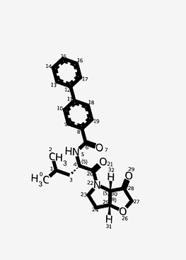 CC(C)C[C@H](NC(=O)c1ccc(-c2ccccc2)cc1)C(=O)N1CC[C@H]2OCC(=O)[C@H]21